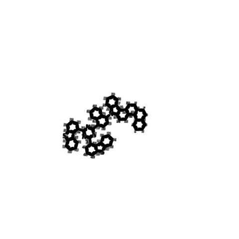 c1ccc2c(c1)ccc1ccc3c(ccc4c3c3ccccc3n4-c3ccc(-c4nc(-c5cccc6sc7ccccc7c56)nc(-c5cccc6sc7ccccc7c56)n4)c4ccccc34)c12